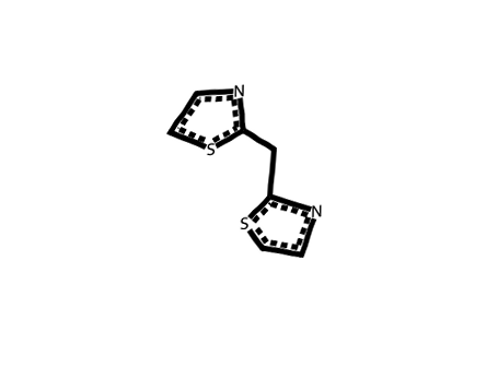 c1csc(Cc2nccs2)n1